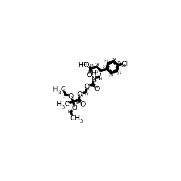 CCOC(C)(OCC)C(=O)OCOC(=O)NC[C@H](CC(=O)O)c1ccc(Cl)cc1